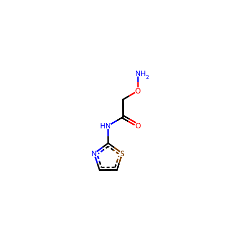 NOCC(=O)Nc1nccs1